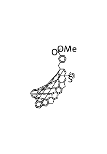 COC(=O)c1cccc(CC23C4=CC5(c6cccs6)C=C6Cc7cc8cc9c%10c%11c(cc%12cc(c2c2c%12c%11c%11c2c2c3c5c3c6c7c5c8c%10c%11c5c32)C4)C9)c1